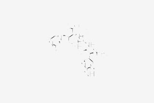 CCON=C(C(=O)NC1C(=O)N2C(C(=O)[O-])=C(C[n+]3cc(C)nc(C)c3)CS[C@@H]12)c1cnc(N)nc1